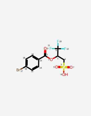 O=C(OC(CS(=O)(=O)O)C(F)(F)F)c1ccc(Br)cc1